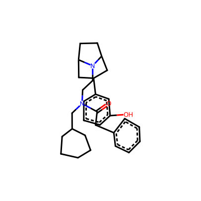 O=C(Cc1ccccc1)N(CCN1C2CCC1CC(c1cccc(O)c1)C2)CC1CCCCC1